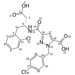 O=C(O)C[C@@H](Cc1ccccc1Cl)NC(=O)c1cc(C(=O)O)n(Cc2ccc(Cl)cc2)n1